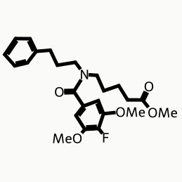 COC(=O)CCCCN(CCCc1ccccc1)C(=O)c1cc(OC)c(F)c(OC)c1